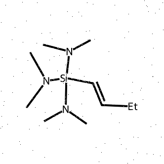 CCC=C[Si](N(C)C)(N(C)C)N(C)C